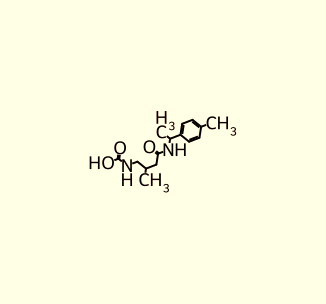 Cc1ccc(C(C)NC(=O)CC(C)CNC(=O)O)cc1